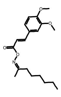 CCCCCC/C(C)=N\OC(=O)/C=C/c1ccc(OC)c(OC)c1